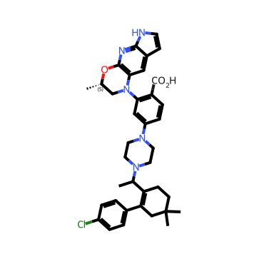 CC(C1=C(c2ccc(Cl)cc2)CC(C)(C)CC1)N1CCN(c2ccc(C(=O)O)c(N3C[C@H](C)Oc4nc5[nH]ccc5cc43)c2)CC1